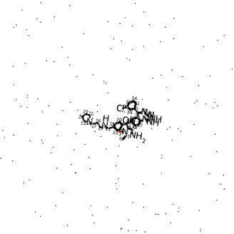 C=CN(C)/C(=C\N)C(O)(c1ccc(CNCCCN2CCCC2)cc1)c1ccc2c(c1)C(c1cccc(Cl)c1)=NC1=NNNN12